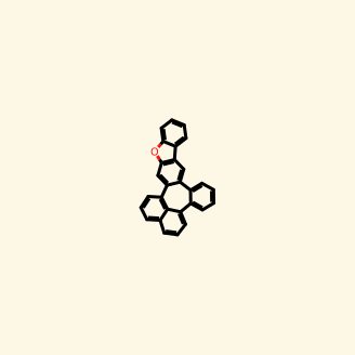 c1ccc2c(c1)-c1cc3c(cc1-c1cccc4cccc-2c14)oc1ccccc13